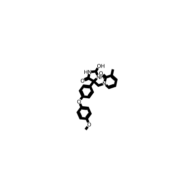 COc1ccc(Oc2ccc(C3(Cn4cccc(C)c4=O)NC(O)NC3=O)cc2)cc1